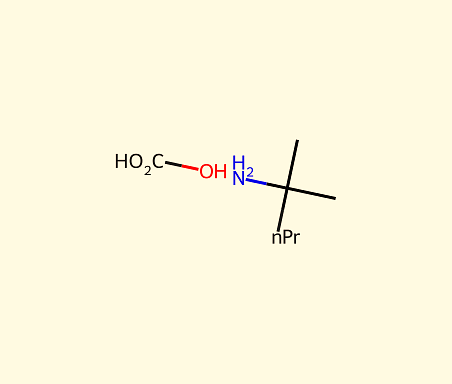 CCCC(C)(C)N.O=C(O)O